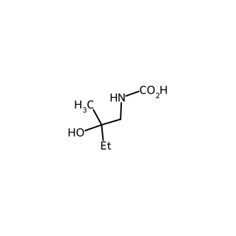 CCC(C)(O)CNC(=O)O